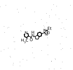 CCc1nc(-c2ccc3c(c2)CCC3NC(=O)c2cnccc2C)no1